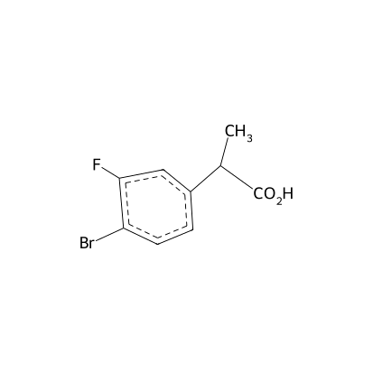 CC(C(=O)O)c1ccc(Br)c(F)c1